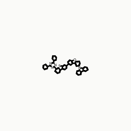 c1ccc(-c2nc(-c3ccccc3)nc(-c3cccc4c3sc3cc(-c5ccc6oc7ccc(-n8c9ccccc9c9ccccc98)cc7c6c5)ccc34)n2)cc1